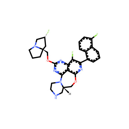 Fc1cccc2c(-c3nc4c5c(nc(OC[C@@]67CCCN6C[C@H](F)C7)nc5c3F)N3CCNC[C@H]3CO4)cccc12